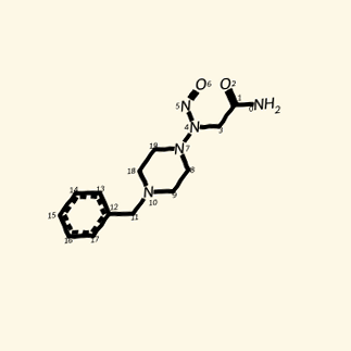 NC(=O)CN(N=O)N1CCN(Cc2ccccc2)CC1